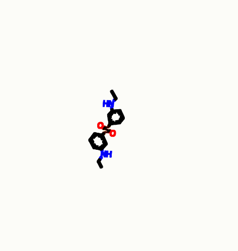 CCNc1cccc(S(=O)(=O)c2cccc(NCC)c2)c1